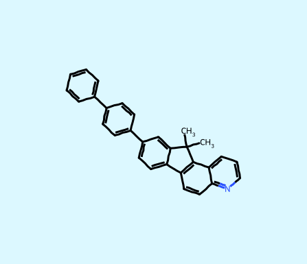 CC1(C)c2cc(-c3ccc(-c4ccccc4)cc3)ccc2-c2ccc3ncccc3c21